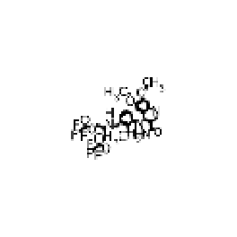 CCOc1cc2ncc(C(N)=O)c(Nc3cccc(CNC(COC(=O)C(F)(F)F)COC(=O)C(F)(F)F)c3CC)c2cc1OCC